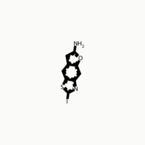 Nc1cc2cc3sc(I)nc3cc2o1